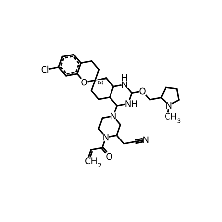 C=CC(=O)N1CCN(C2NC(OCC3CCCN3C)NC3C[C@@]4(CCc5ccc(Cl)cc5O4)CCC32)CC1CC#N